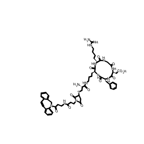 N=C(N)NCCCC[C@@H]1NC(=O)[C@H](CCCCNC(=O)[C@@H](N)CSC2CC(=O)N(CCC(=O)NCCC(=O)N3Cc4ccccc4C#Cc4ccccc43)C2=O)NC(=O)[C@@H](Cc2ccccc2)NC(=O)[C@H](CC(=O)O)NC(=O)CNC1=O